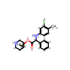 Cc1ccc(NC(C(=O)OC2CN3CCC2CC3)c2ccccc2)cc1F